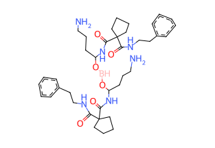 NCCCC(NC(=O)C1(C(=O)NCCc2ccccc2)CCCC1)OBOC(CCCN)NC(=O)C1(C(=O)NCCc2ccccc2)CCCC1